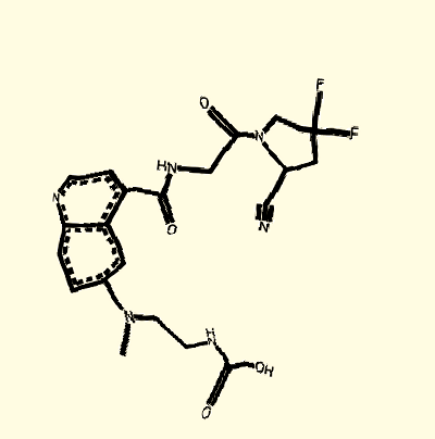 CN(CCNC(=O)O)c1ccc2nccc(C(=O)NCC(=O)N3CC(F)(F)CC3C#N)c2c1